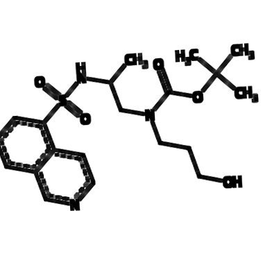 CC(CN(CCCO)C(=O)OC(C)(C)C)NS(=O)(=O)c1cccc2cnccc12